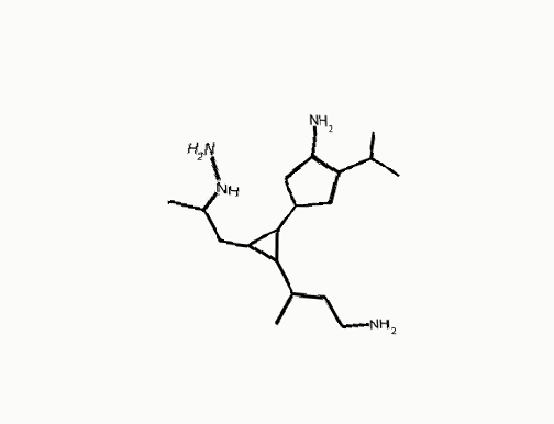 CC(CC1C(C(C)CCN)C1C1CC(N)C(C(C)C)C1)NN